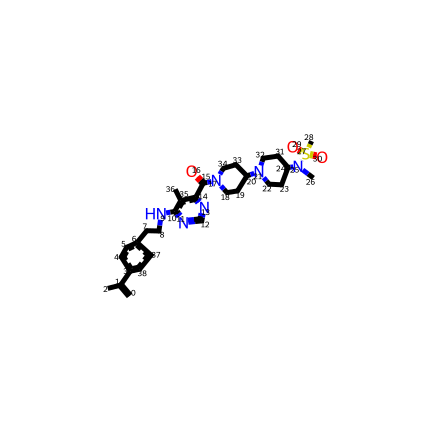 C=C(C)c1ccc(CCNc2ncnc(C(=O)N3CCC(N4CCC(N(C)S(C)(=O)=O)CC4)CC3)c2C)cc1